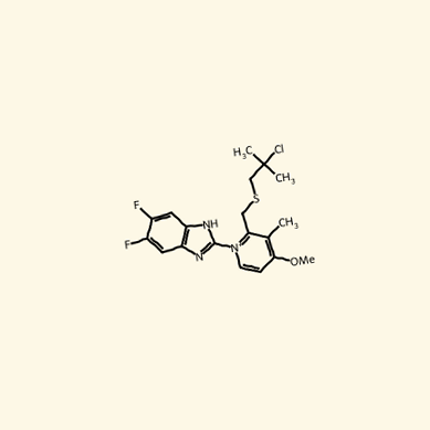 COc1cc[n+](-c2nc3cc(F)c(F)cc3[nH]2)c(CSCC(C)(C)Cl)c1C